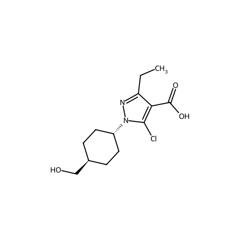 CCc1nn([C@H]2CC[C@H](CO)CC2)c(Cl)c1C(=O)O